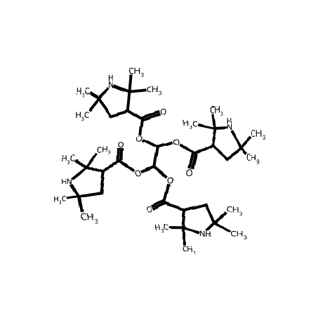 CC1(C)CC(C(=O)OC(OC(=O)C2CC(C)(C)NC2(C)C)C(OC(=O)C2CC(C)(C)NC2(C)C)OC(=O)C2CC(C)(C)NC2(C)C)C(C)(C)N1